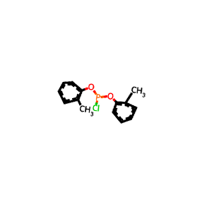 Cc1ccccc1OP(Cl)Oc1ccccc1C